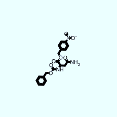 NC(=O)CC(NC(=O)OCc1ccccc1)C(=O)OCc1ccc([N+](=O)[O-])cc1